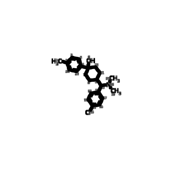 Cc1ccc(C2(O)CCC(C(c3ccc(Cl)cc3)N(C)C)CC2)cc1